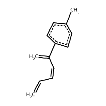 C=C/C=C\C(=C)c1ccc(C)cc1